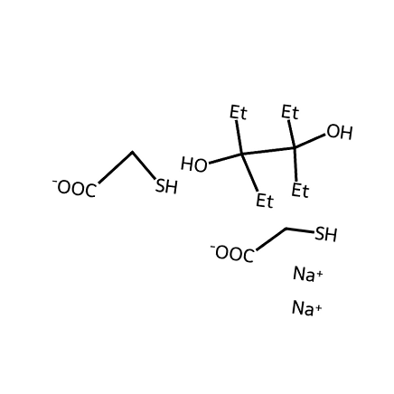 CCC(O)(CC)C(O)(CC)CC.O=C([O-])CS.O=C([O-])CS.[Na+].[Na+]